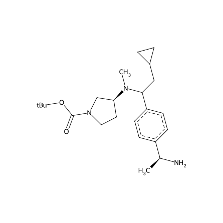 C[C@H](N)c1ccc(C(CC2CC2)N(C)[C@H]2CCN(C(=O)OC(C)(C)C)C2)cc1